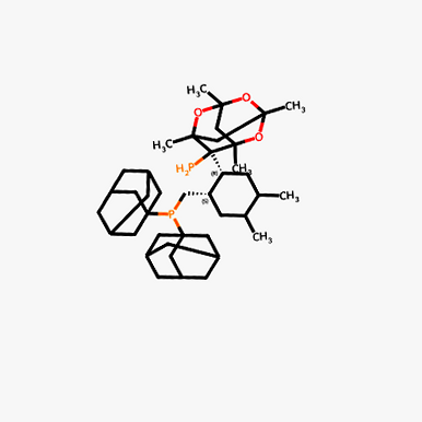 CC1C[C@H](CP(C23CC4CC(CC(C4)C2)C3)C23CC4CC(CC(C4)C2)C3)[C@H](C2(P)C3(C)CC4(C)OC(C)(CC2(C)O4)O3)CC1C